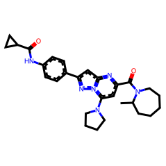 CC1CCCCCN1C(=O)c1cc(N2CCCC2)n2nc(-c3ccc(NC(=O)C4CC4)cc3)cc2n1